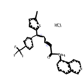 Cc1ccc(/C(=C/C=C/C(=O)Nc2cccc3cnccc23)c2ccc(C(F)(F)F)cc2)s1.Cl